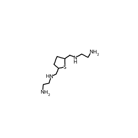 NCCNCC1CCC(CNCCN)S1